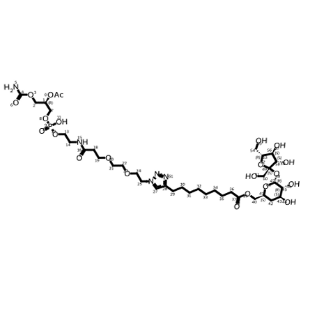 CC(=O)O[C@H](COC(N)=O)COP(=O)(O)OCCNC(=O)CCOCCOCCn1cc(CCCCCCCCC(=O)OC[C@@H]2C[C@H](O)[C@@H](O)[C@@H](O[C@]3(CO)O[C@H](CO)[C@@H](O)[C@@H]3O)O2)nn1